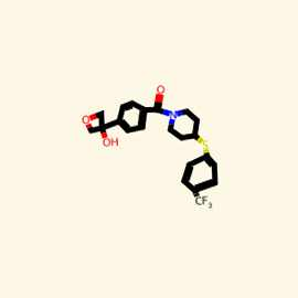 O=C(c1ccc(C2(O)COC2)cc1)N1CCC(Sc2ccc(C(F)(F)F)cc2)CC1